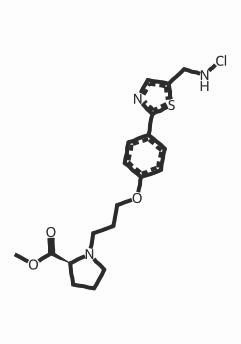 COC(=O)[C@@H]1CCCN1CCCOc1ccc(-c2ncc(CNCl)s2)cc1